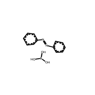 OB(O)O.c1ccc(N=Nc2ccccc2)cc1